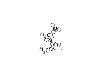 CC1=CC(C2CC(N3C4C=CC(C5CCC6C(C5)C5CCCCC5N6C5CCCCC5)C(C)C4C4C=CCCC43)CC2(C)C2CCCC2)CCC1